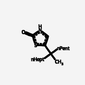 CCCCCCCC(C)(CCCCC)c1c[nH]c(=O)s1